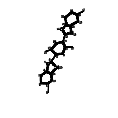 Cc1ccc2oc(-c3cc(C)c(-c4nc5cc(C)ccc5o4)cc3C)nc2c1